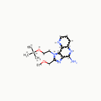 CCOCc1nc2c(N)nc3cccnc3c2n1CCO[Si](C)(C)C(C)(C)C